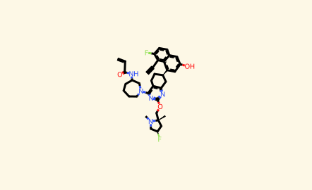 C#Cc1c(F)ccc2cc(O)cc([C@@H]3CCc4c(nc(OC[C@]5(C)C[C@@H](F)CN5C)nc4N4CCCCC(NC(=O)C=C)C4)C3)c12